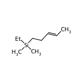 CC=CCC[Si](C)(C)CC